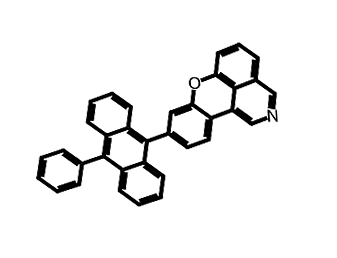 c1ccc(-c2c3ccccc3c(-c3ccc4c(c3)Oc3cccc5cncc-4c35)c3ccccc23)cc1